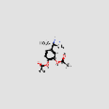 CCCCC(=O)Oc1ccc([C@](C)(N)C(=O)O)cc1OC(=O)CCCC